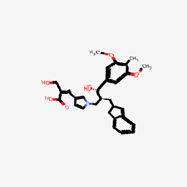 COc1cc([C@@H](O)[C@@H](CC2Cc3ccccc3C2)Cn2ccc(CC(CO)C(=O)O)c2)cc(OC)c1C